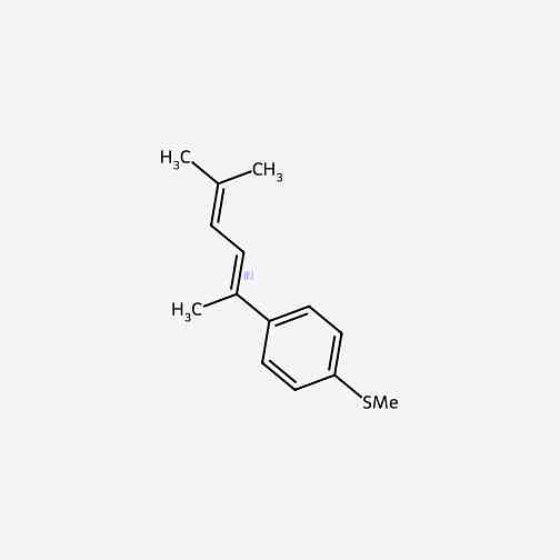 CSc1ccc(/C(C)=C/C=C(C)C)cc1